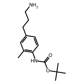 Cc1cc(CCCN)ccc1NC(=O)OC(C)(C)C